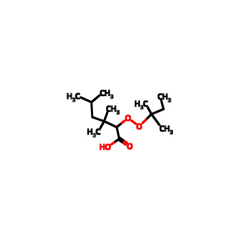 CCC(C)(C)OOC(C(=O)O)C(C)(C)CC(C)C